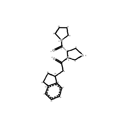 O=C([C@@H]1CSCN1C(=O)CC1CCc2ccccc21)N1CCCC1